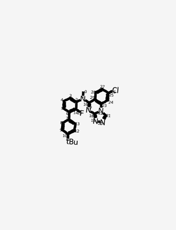 CN(c1cccc(-c2ccc(C(C)(C)C)cc2)c1F)c1nc2nncn2c2cc(Cl)ccc12